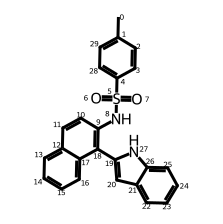 Cc1ccc(S(=O)(=O)Nc2ccc3ccccc3c2-c2cc3ccccc3[nH]2)cc1